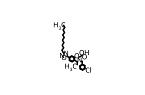 CCCCCCCCCCCc1noc(-c2ccc(C(CC)N(Cc3cccc(Cl)c3)C(=O)C(=O)O)cc2)n1